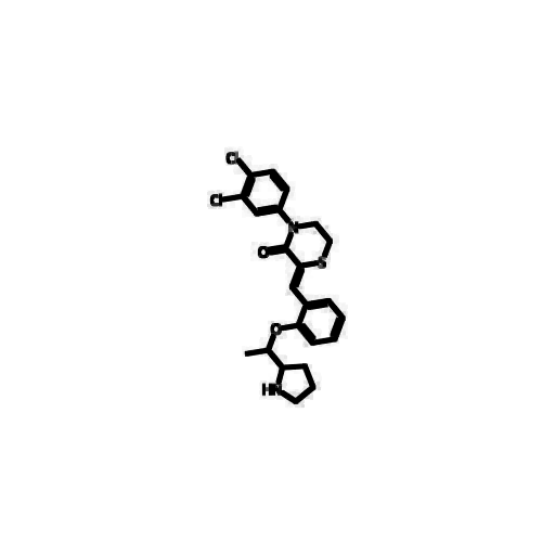 CC(Oc1ccccc1C=C1SCCN(c2ccc(Cl)c(Cl)c2)C1=O)C1CCCN1